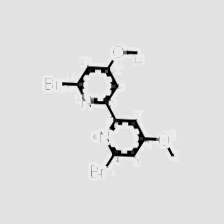 COc1cc(Br)nc(-c2cc(OC)cc(Br)n2)c1